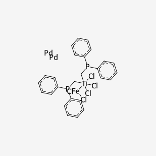 [Cl][Fe]([Cl])[Ti]([Cl])([Cl])([Cl])([CH2]P(c1ccccc1)c1ccccc1)[CH2]P(c1ccccc1)c1ccccc1.[Pd].[Pd]